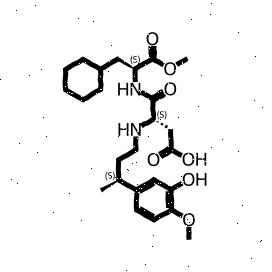 COC(=O)[C@H](CC1CCCCC1)NC(=O)[C@H](CC(=O)O)NCC[C@H](C)c1ccc(OC)c(O)c1